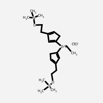 C[CH]=[Zr+2]([C]1=CC(CCO[Si](C)(C)C)=CC1)[C]1=CC(CCO[Si](C)(C)C)=CC1.[Cl-].[Cl-]